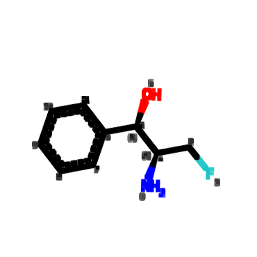 N[C@H](CF)[C@H](O)c1ccccc1